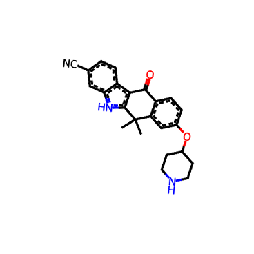 CC1(C)c2cc(OC3CCNCC3)ccc2C(=O)c2c1[nH]c1cc(C#N)ccc21